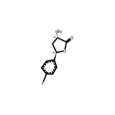 CCCC[C@H]1C[C@H](c2ccc(F)cc2)OC1=O